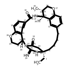 CC[C@]12CCCCc3ccc4c(c3)[C@@H](NC(=O)c3ccc5c(c3)[C@@H](CCO5)N(C(=N)N1)C(=O)C2)[C@H](C)CO4